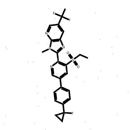 CCS(=O)(=O)c1cc(-c2ccc(C3(F)CC3)cc2)cnc1-c1nc2cc(C(C)(F)F)cnc2n1C